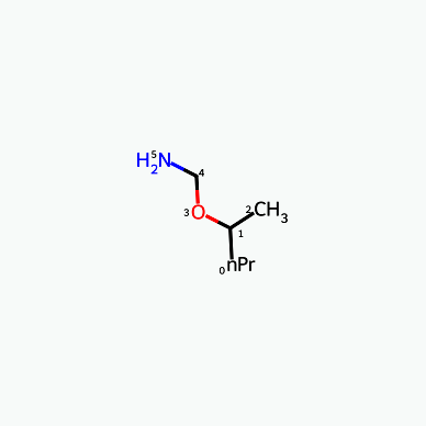 CCCC(C)OCN